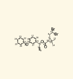 C#CC(OC(=O)C1C(CC(Br)Br)C1(C)C)c1cccc(Oc2ccccc2)c1